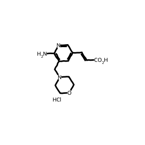 Cl.Nc1ncc(C=CC(=O)O)cc1CN1CCOCC1